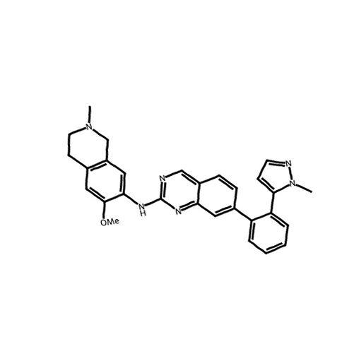 COc1cc2c(cc1Nc1ncc3ccc(-c4ccccc4-c4ccnn4C)cc3n1)CN(C)CC2